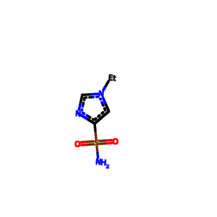 CCn1cnc(S(N)(=O)=O)c1